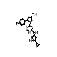 OC1CC(c2ccc(F)cc2)N(c2ncnc(Nc3cc(C4CC4)[nH]n3)n2)C1